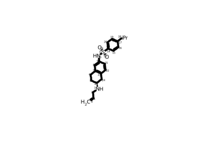 C=CCN[C@H]1CCc2cc(NS(=O)(=O)c3ccc(C(C)C)cc3)ccc2C1